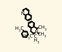 CC1c2ccccc2CC(C)(C)N1C.Cc1ccccc1.c1ccc2ncccc2c1